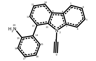 C#Cn1c2ccccc2c2cccc(-c3ccccc3N)c21